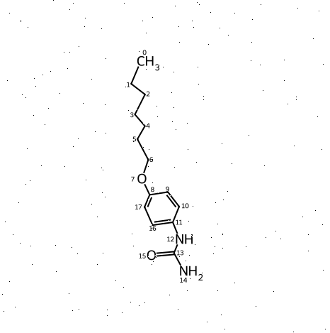 CCCCCCCOc1ccc(NC(N)=O)cc1